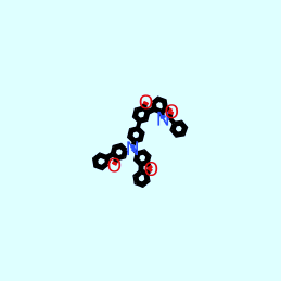 c1ccc(-c2nc3c(ccc4oc5ccc(-c6ccc(N(c7ccc8c(c7)oc7ccccc78)c7ccc8oc9ccccc9c8c7)cc6)cc5c43)o2)cc1